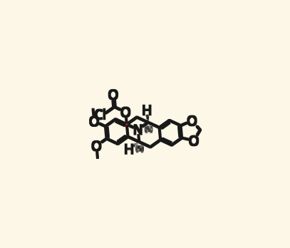 COc1cc2c(cc1OC)[C@@H]1Cc3cc4c(cc3[C@H](C2)N1COC(=O)Cl)OCO4